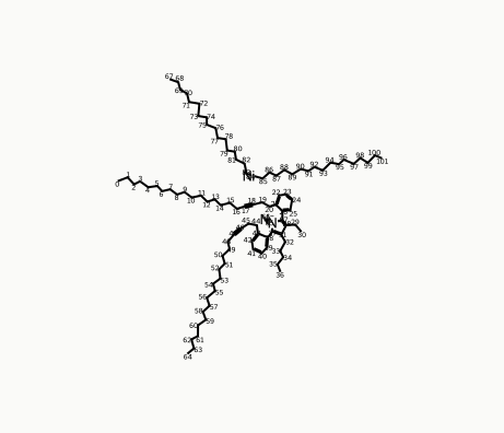 CCCCCCCCCCCCCCCCCC#CCCc1ccccc1C1=C(CC)C(CCCCC)=C(c2ccccc2CCC#CCCCCCCCCCCCCCCCCC)[N+]1=[N-].CCCCCCCCCCCCCCCC[CH2][Ni][CH2]CCCCCCCCCCCCCCCC